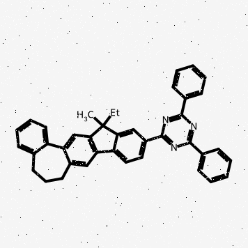 CCC1(C)c2cc(-c3nc(-c4ccccc4)nc(-c4ccccc4)n3)ccc2-c2cc3c(cc21)-c1ccccc1CCC3